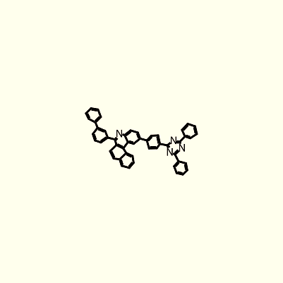 c1ccc(-c2cccc(-c3nc4ccc(-c5ccc(-c6nc(-c7ccccc7)nc(-c7ccccc7)n6)cc5)cc4c4c3ccc3ccccc34)c2)cc1